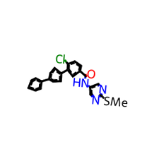 CSc1ncc(NC(=O)c2ccc(Cl)c(-c3ccc(-c4ccccc4)cc3)c2)cn1